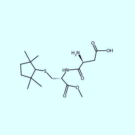 COC(=O)[C@H](CSC1C(C)(C)CCC1(C)C)NC(=O)[C@@H](N)CC(=O)O